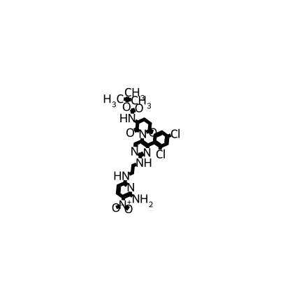 CC(C)(C)OC(=O)NC1CCC(=O)N(c2cnc(NCCNc3ccc([N+](=O)[O-])c(N)n3)nc2-c2ccc(Cl)cc2Cl)C1=O